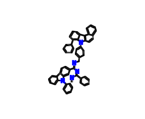 C=N/C(=N\C(=N/Cc1ccc(-n2c3ccc4ccccc4c3c3cccc(-c4ccccc4)c32)cc1)c1ccc2c3ccccc3n(-c3ccccc3)c2c1)c1ccccc1